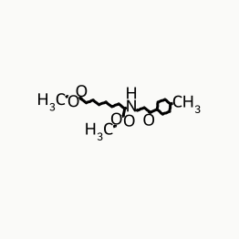 CCOC(=O)CCCCCCC(NCCC(=O)C1CCC(C)CC1)C(=O)OCC